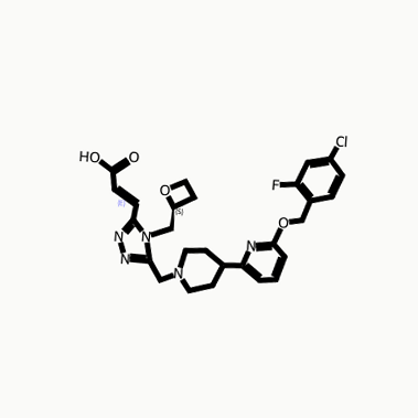 O=C(O)/C=C/c1nnc(CN2CCC(c3cccc(OCc4ccc(Cl)cc4F)n3)CC2)n1C[C@@H]1CCO1